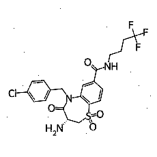 N[C@H]1CS(=O)(=O)c2ccc(C(=O)NCCCC(F)(F)F)cc2N(Cc2ccc(Cl)cc2)C1=O